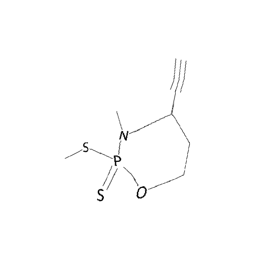 C#CC1CCOP(=S)(SC)N1C